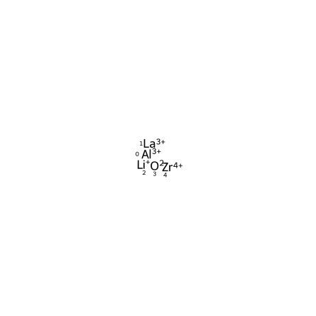 [Al+3].[La+3].[Li+].[O-2].[Zr+4]